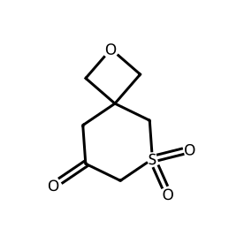 O=C1CC2(COC2)CS(=O)(=O)C1